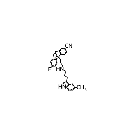 Cc1ccc2[nH]cc(CCCNCCCC3(c4ccc(F)cc4)OCc4cc(C#N)ccc43)c2c1